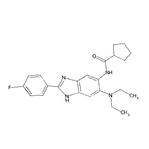 CCN(CC)c1cc2[nH]c(-c3ccc(F)cc3)nc2cc1NC(=O)C1CCCC1